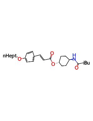 CCCCCCCOc1ccc(/C=C/C(=O)O[C@H]2CC[C@H](NC(=O)C(C)CC)CC2)cc1